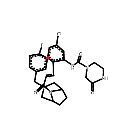 O=C1CN(C(=O)Nc2cc(Cl)ccc2/C=C/C(=O)N2C3CCC2CN(Cc2ccc(F)cc2)C3)CCN1